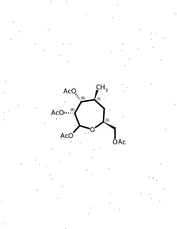 CC(=O)OC[C@@H]1C[C@H](C)[C@@H](OC(C)=O)[C@@H](OC(C)=O)C(OC(C)=O)O1